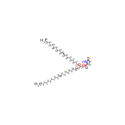 CCCCCCCCCCC=CCCCCCCCCOCC(COC(=O)[C@@H]1CCC(=O)N1)OCCCCCCCCC=CCCCCCCCCCC